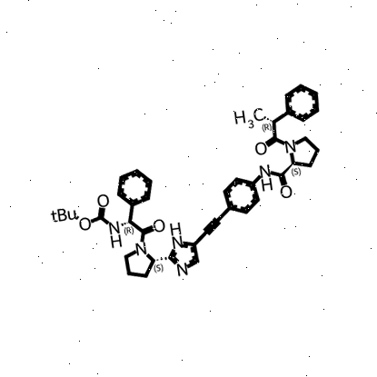 C[C@@H](C(=O)N1CCC[C@H]1C(=O)Nc1ccc(C#Cc2cnc([C@@H]3CCCN3C(=O)[C@H](NC(=O)OC(C)(C)C)c3ccccc3)[nH]2)cc1)c1ccccc1